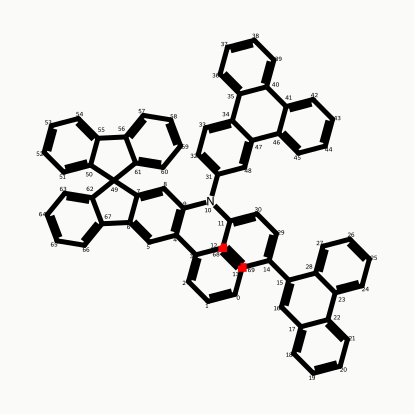 c1ccc(-c2cc3c(cc2N(c2ccc(-c4cc5ccccc5c5ccccc45)cc2)c2ccc4c5ccccc5c5ccccc5c4c2)C2(c4ccccc4-c4ccccc42)c2ccccc2-3)cc1